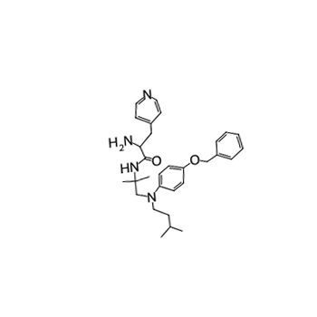 CC(C)CCN(CC(C)(C)NC(=O)C(N)Cc1ccncc1)c1ccc(OCc2ccccc2)cc1